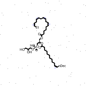 CC/C=C\C/C=C\C/C=C\C/C=C\CCCCC(=O)OC[C@H](COP(=O)(O)OC[C@@H](O)CO)OC(=O)CCCCCCCCC/C=C\CCCCCCCCCC